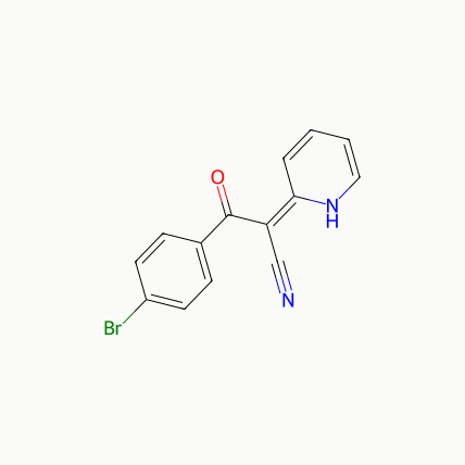 N#C/C(C(=O)c1ccc(Br)cc1)=C1/C=CC=CN1